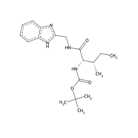 CC[C@H](C)[C@H](NC(=O)OC(C)(C)C)C(=O)NCc1nc2ccccc2[nH]1